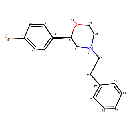 Brc1ccc([C@@H]2CN(CCc3ccccc3)CCO2)cc1